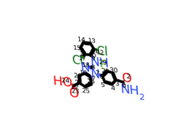 NC(=O)c1ccc(-n2c(Nc3c(Cl)cccc3Cl)nc3cc(C(=O)O)ccc32)c(F)c1